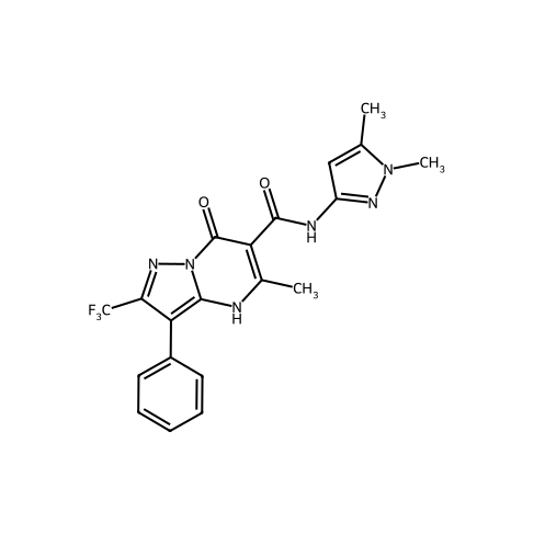 Cc1[nH]c2c(-c3ccccc3)c(C(F)(F)F)nn2c(=O)c1C(=O)Nc1cc(C)n(C)n1